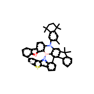 Cc1cc2c(cc1N1c3cc4c(c5c3B(c3c1ccc1c3oc3ccccc31)n1c3c-5cccc3c3sc5ccccc5c31)-c1ccccc1C4(C)C)C(C)(C)CCC2(C)C